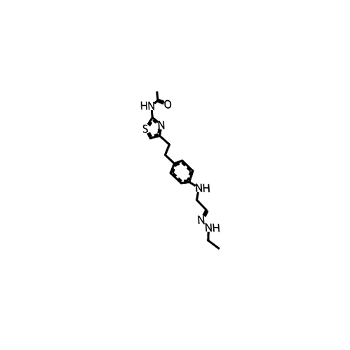 CCNN=CCNc1ccc(CCc2csc(NC(C)=O)n2)cc1